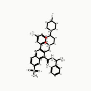 CS(=O)(=O)c1ccc2nc(-c3cccc(C(F)(F)F)c3)c(CN3CCC(N4CCC(F)CC4)CC3)c(C(=O)NC(c3ccccc3)C(F)(F)F)c2c1